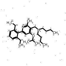 CCCCN(CCCC)Cc1c(OC(C)C)cc(-c2c(CC)cccc2CC)nc1C